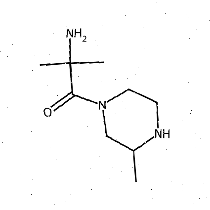 CC1CN(C(=O)C(C)(C)N)CCN1